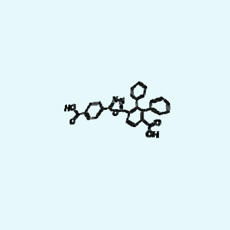 O=C(O)c1ccc(-c2nnc(-c3ccc(C(=O)O)c(-c4ccccc4)c3-c3ccccc3)o2)cc1